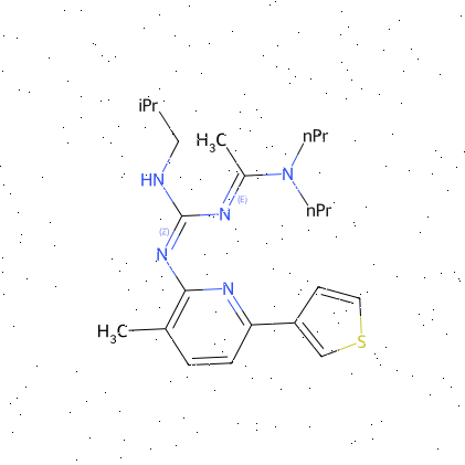 CCCN(CCC)/C(C)=N/C(=N\c1nc(-c2ccsc2)ccc1C)NCC(C)C